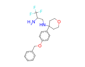 NC(CNC1(c2ccc(OCc3ccccc3)cc2)CCOCC1)C(F)(F)F